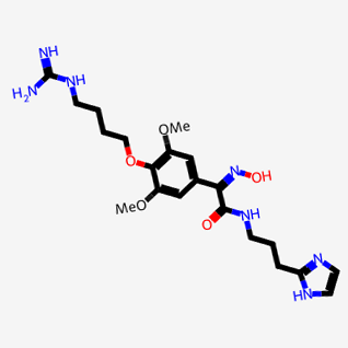 COc1cc(C(=NO)C(=O)NCCCc2ncc[nH]2)cc(OC)c1OCCCCNC(=N)N